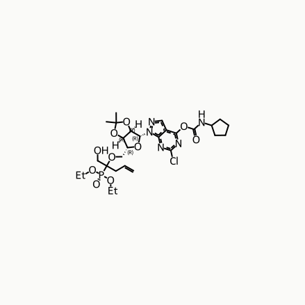 C=CCC(CO)(OC[C@H]1O[C@@H](n2ncc3c(OC(=O)NC4CCCC4)nc(Cl)nc32)[C@@H]2OC(C)(C)O[C@@H]21)P(=O)(OCC)OCC